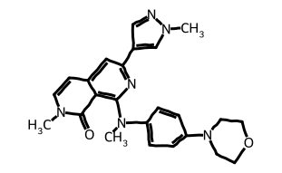 CN(c1ccc(N2CCOCC2)cc1)c1nc(-c2cnn(C)c2)cc2ccn(C)c(=O)c12